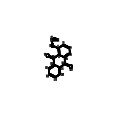 CCCCSc1cccc2c1C(=O)c1ccccc1C2=O